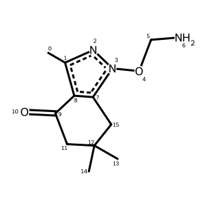 Cc1nn(OCN)c2c1C(=O)CC(C)(C)C2